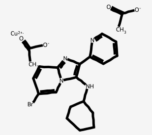 Brc1ccc2nc(-c3ccccn3)c(NC3CCCCC3)n2c1.CC(=O)[O-].CC(=O)[O-].[Cu+2]